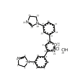 C1=NCCN1c1cccc(-c2cc(-c3cccc(N4C=NCC4)c3)on2)c1.Cl.Cl